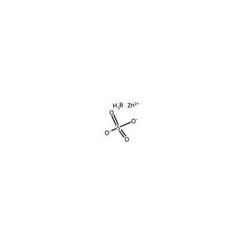 B.O=S(=O)([O-])[O-].[Zn+2]